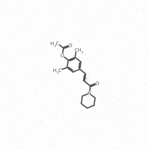 CC(=O)Oc1c(C)cc(/C=C/C(=O)N2CCCCC2)cc1C